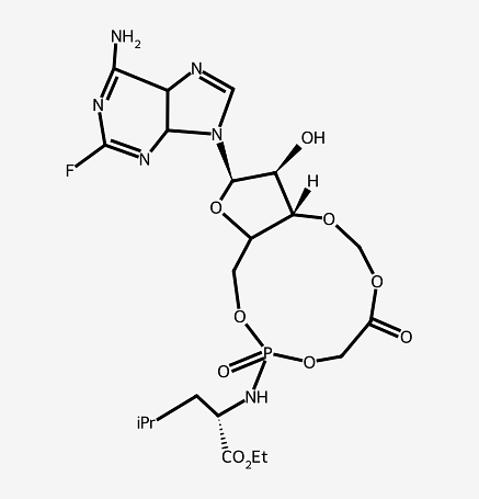 CCOC(=O)[C@H](CC(C)C)NP1(=O)OCC(=O)OCO[C@@H]2C(CO1)O[C@@H](N1C=NC3C(N)=NC(F)=NC31)[C@H]2O